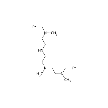 CC(C)CN(C)CCNCCN(C)CCN(C)CC(C)C